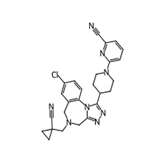 N#Cc1cccc(N2CCC(c3nnc4n3-c3ccc(Cl)cc3CN(CC3(C#N)CC3)C4)CC2)n1